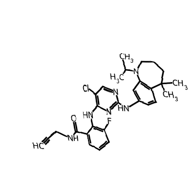 C#CCNC(=O)c1cccc(F)c1Nc1nc(Nc2ccc3c(c2)N(C(C)C)CCCC3(C)C)ncc1Cl